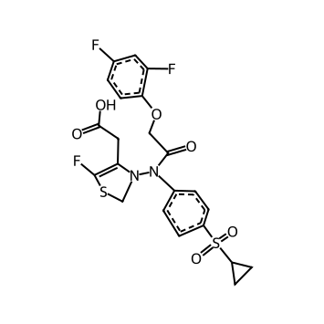 O=C(O)CC1=C(F)SCN1N(C(=O)COc1ccc(F)cc1F)c1ccc(S(=O)(=O)C2CC2)cc1